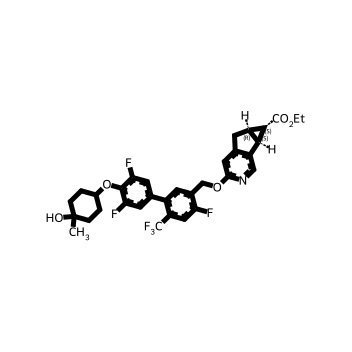 CCOC(=O)[C@H]1[C@@H]2Cc3cc(OCc4cc(-c5cc(F)c(OC6CCC(C)(O)CC6)c(F)c5)c(C(F)(F)F)cc4F)ncc3[C@@H]21